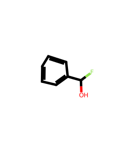 O[C](F)c1ccccc1